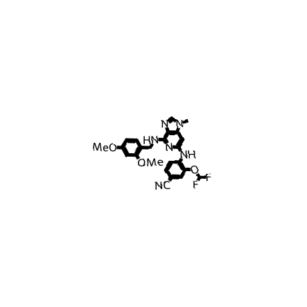 COc1ccc(CNc2nc(Nc3ccc(C#N)cc3OC(F)F)cc3c2ncn3C)c(OC)c1